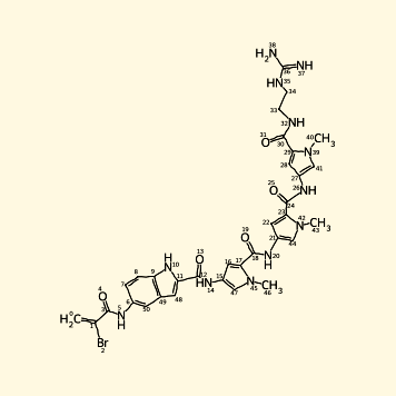 C=C(Br)C(=O)Nc1ccc2[nH]c(C(=O)Nc3cc(C(=O)Nc4cc(C(=O)Nc5cc(C(=O)NCCNC(=N)N)n(C)c5)n(C)c4)n(C)c3)cc2c1